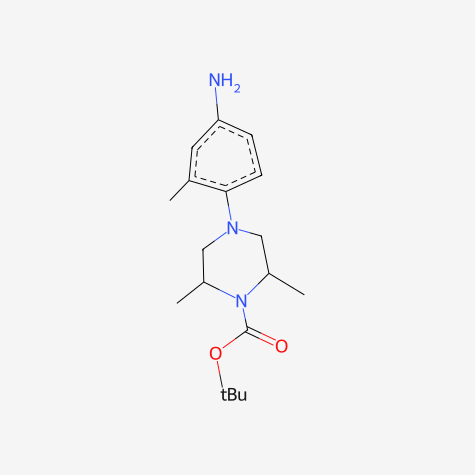 Cc1cc(N)ccc1N1CC(C)N(C(=O)OC(C)(C)C)C(C)C1